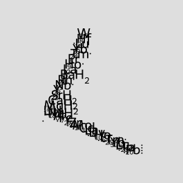 [Al].[BaH2].[CaH2].[Cd].[Dy].[Er].[Er].[Fe].[Hf].[Ho].[Ho].[La].[La].[LiH].[Lu].[Lu].[MgH2].[Mo].[NaH].[Nb].[Pb].[Rh].[SrH2].[Ta].[Tm].[Tm].[W].[Y].[Y].[Yb].[Yb].[Zr]